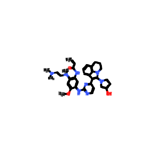 C=CC(=O)Nc1cc(Nc2nccc(-c3c(N4CCC(O)C4)n4c5c(cccc35)CCC4)n2)c(OC)cc1N(C)CCN(C)C